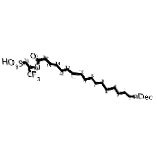 CCCCCCCCCCCCCCCCCCCCCCCCCCC(=O)OC(CS(=O)(=O)O)C(F)(F)F